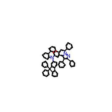 c1ccc(-c2ccccc2N(c2ccc3c(c2)C(c2ccccc2)(c2ccccc2)c2ccccc2-3)c2ccc3cc(-c4ccccc4)n4nc(-c5ccccc5)c(-c5ccccc5)c4c3c2)cc1